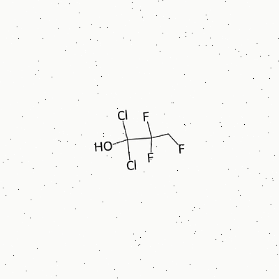 OC(Cl)(Cl)C(F)(F)CF